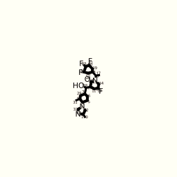 Cc1cn(-c2ccc(C(O)c3cc(F)cn(C(C)c4cc(F)c(F)c(F)c4)c3=O)cc2C)cn1